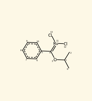 CC(C)O[C](c1ccccc1)=[Ru]([Cl])[Cl]